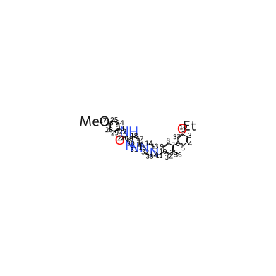 CCOc1cccc(-c2ccc(CN3CCN(c4ccc(C(=O)Nc5ccc(OC)cc5)nn4)CC3)cc2C)c1